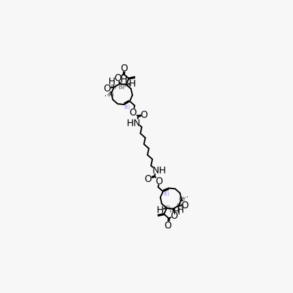 C=C1C(=O)O[C@H]2[C@H]1CC/C(COC(=O)NCCCCCCCCNC(=O)OC/C1=C/CC[C@@]3(C)O[C@H]3[C@H]3OC(=O)C(=C)[C@@H]3CC1)=C\CC[C@@]1(C)O[C@@H]21